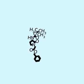 CC(C)(C)OC(=O)N[C@H]1CCN(CC(=O)OCc2ccccc2)C1=O